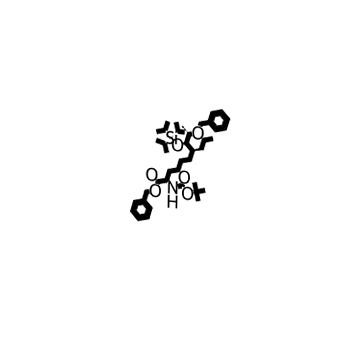 CCC[C@@H](CCCCC(NC(=O)OC(C)(C)C)C(=O)OCc1ccccc1)[C@@H](O[Si](C(C)C)(C(C)C)C(C)C)[C@H](C)OCc1ccccc1